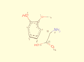 COc1ccccc1O.NCC(=O)O